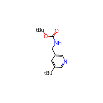 CC(C)(C)OC(=O)NCc1cncc(C(C)(C)C)c1